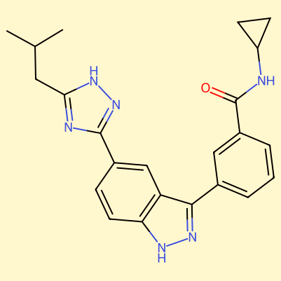 CC(C)Cc1nc(-c2ccc3[nH]nc(-c4cccc(C(=O)NC5CC5)c4)c3c2)n[nH]1